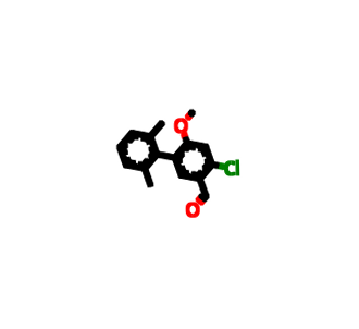 COc1cc(Cl)c(C=O)cc1-c1c(C)cccc1C